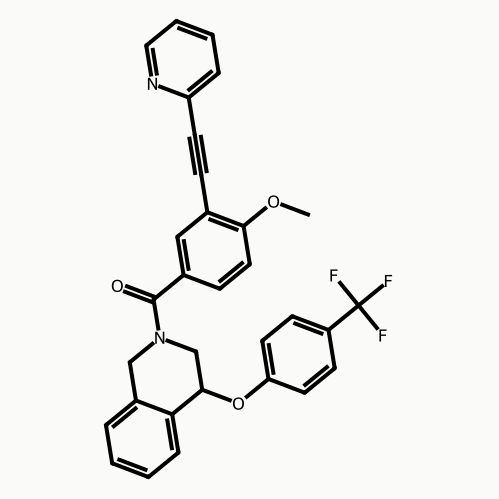 COc1ccc(C(=O)N2Cc3ccccc3C(Oc3ccc(C(F)(F)F)cc3)C2)cc1C#Cc1ccccn1